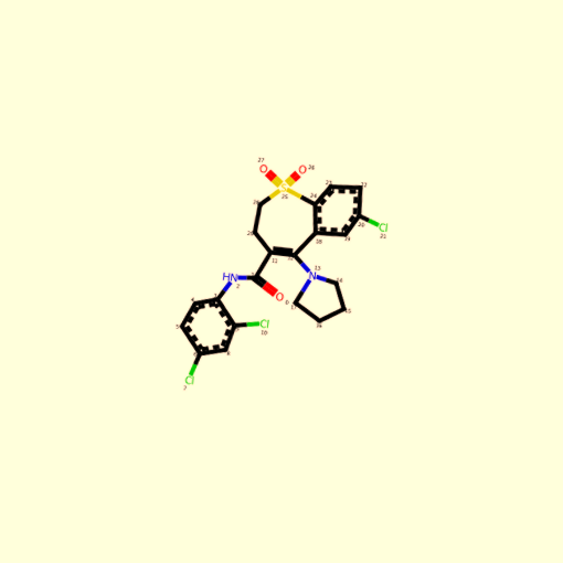 O=C(Nc1ccc(Cl)cc1Cl)C1=C(N2CCCC2)c2cc(Cl)ccc2S(=O)(=O)CC1